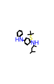 CC(C)CC(C)Nc1ccc(Nc2ccccc2)cc1SC(C)(C)C